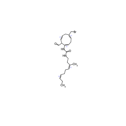 CC/C=C\CC/C=C(/C)CCNC(=O)N/C1=C/C/C=C(/CBr)C/C=C\C1C=O